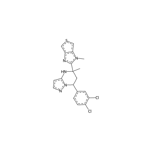 Cn1c(C2(C)CC(c3ccc(Cl)c(Cl)c3)n3nccc3N2)nc2cscc21